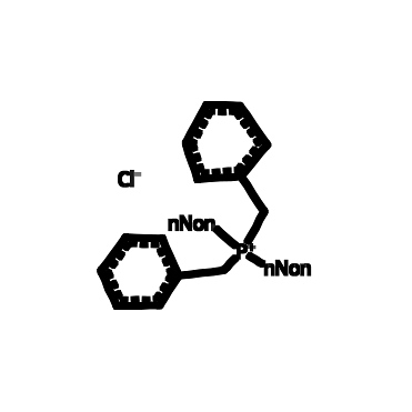 CCCCCCCCC[P+](CCCCCCCCC)(Cc1ccccc1)Cc1ccccc1.[Cl-]